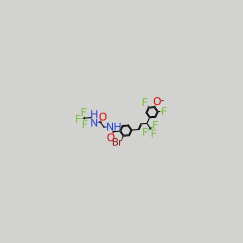 COc1c(F)cc(C(/C=C/c2ccc(C(=O)NCC(=O)NCC(F)(F)F)c(Br)c2)C(F)(F)F)cc1F